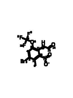 Cc1c(Br)cc(OC(F)(F)F)c(NC=O)c1[N+](=O)[O-]